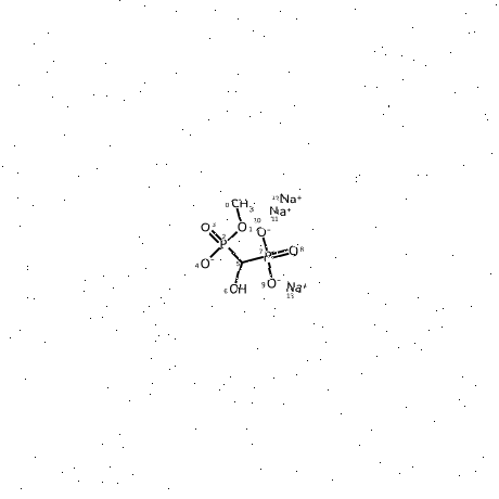 COP(=O)([O-])C(O)P(=O)([O-])[O-].[Na+].[Na+].[Na+]